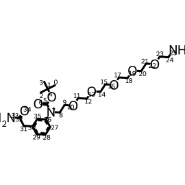 CC(C)(C)OC(=O)N(CCOCCOCCOCCOCCOCCN)c1cccc(CC(N)=O)c1